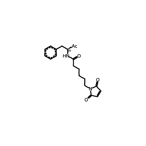 CC(=O)[C@H](Cc1ccccc1)NC(=O)CCCCCN1C(=O)C=CC1=O